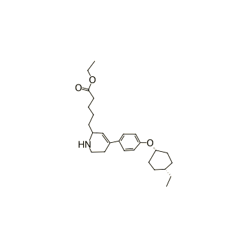 CCOC(=O)CCCCC1C=C(c2ccc(O[C@H]3CC[C@@H](CC)CC3)cc2)CCN1